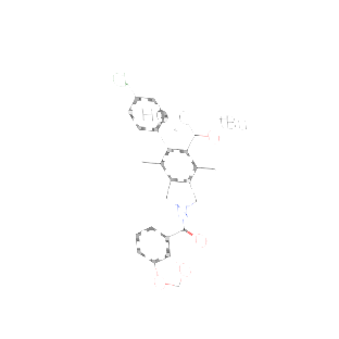 Cc1c2c(c(C)c(C(OC(C)(C)C)C(=O)O)c1-c1ccc(Cl)cc1)CN(C(=O)c1cccc3c1OCO3)C2